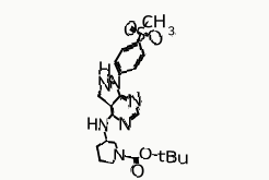 CC(C)(C)OC(=O)N1CCCC(Nc2ncnc3c2CNN3c2ccc(S(C)(=O)=O)cc2)C1